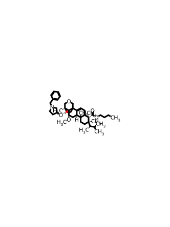 CCCCOC(=O)[C@@H]1[C@@](C)([C@H](C)C(C)C)CC[C@]2(C)[C@H]3CC[C@@H]4C5(COC[C@]4(C)[C@@H](OC4CCN(Cc6ccccc6)C4)[C@H](OC)C5)C3=CC[C@@]12C